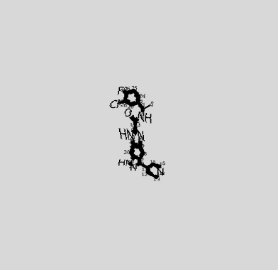 C[C@@H](NC(=O)c1nc2cc3c(-c4ccncc4)n[nH]c3cc2[nH]1)c1ccc(F)c(Cl)c1